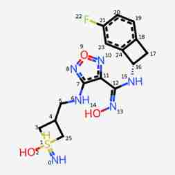 N=[SH]1(O)CC(CNc2nonc2/C(=N\O)N[C@H]2Cc3ccc(F)cc32)C1